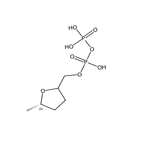 C[C@H]1CCC(COP(=O)(O)OP(=O)(O)O)O1